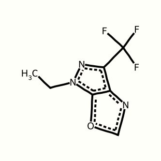 CCn1nc(C(F)(F)F)c2ncoc21